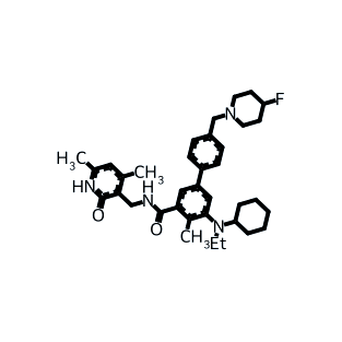 CCN(c1cc(-c2ccc(CN3CCC(F)CC3)cc2)cc(C(=O)NCc2c(C)cc(C)[nH]c2=O)c1C)C1CCCCC1